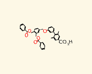 Cc1cc(C(=O)O)cc(C)c1-c1cccc(OCc2ccc(COC(=O)c3ccccc3)c(COC(=O)c3ccccc3)c2)c1